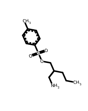 CCCC(CN)COS(=O)(=O)c1ccc(C)cc1